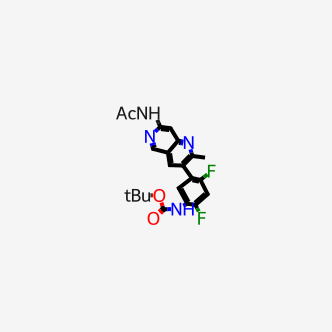 CC(=O)Nc1cc2nc(C)c(-c3cc(NC(=O)OC(C)(C)C)c(F)cc3F)cc2cn1